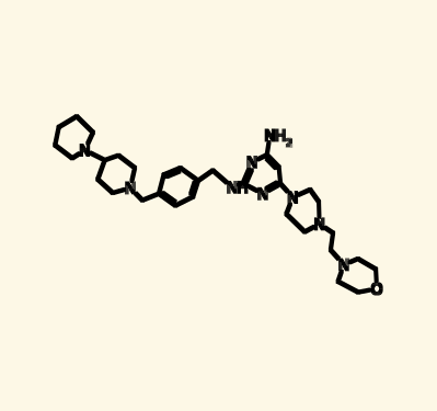 Nc1cc(N2CCN(CCN3CCOCC3)CC2)nc(NCc2ccc(CN3CCC(N4CCCCC4)CC3)cc2)n1